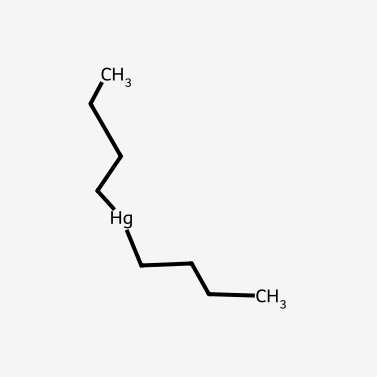 CCC[CH2][Hg][CH2]CCC